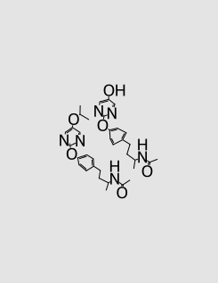 CC(=O)NC(C)CCc1ccc(Oc2ncc(O)cn2)cc1.CC(=O)NC(C)CCc1ccc(Oc2ncc(OC(C)C)cn2)cc1